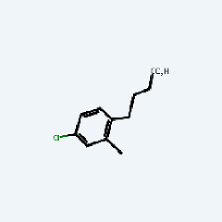 Cc1cc(Cl)ccc1CCCC(=O)O